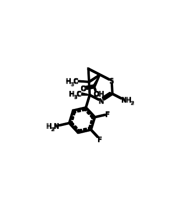 CC12C[C@]1(C(=O)O)SC(N)=N[C@]2(C)c1cc(N)cc(F)c1F